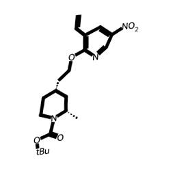 C=Cc1cc([N+](=O)[O-])cnc1OCC[C@H]1CCN(C(=O)OC(C)(C)C)[C@@H](C)C1